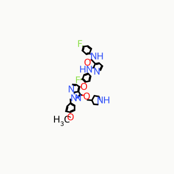 COc1ccc(Cn2nc(OCC3CCNCC3)c3c(Oc4ccc(Nc5ncccc5C(=O)Nc5ccc(F)cc5)cc4F)ccnc32)cc1